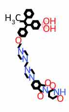 CC/C(=C(\c1ccc(OCCN2CCN(CCN3CCN(c4ccc5c(c4)C(=O)N(C4CCC(=O)NC4=O)C5=O)CC3)CC2)cc1)c1ccc(B(O)O)cc1)c1ccccc1